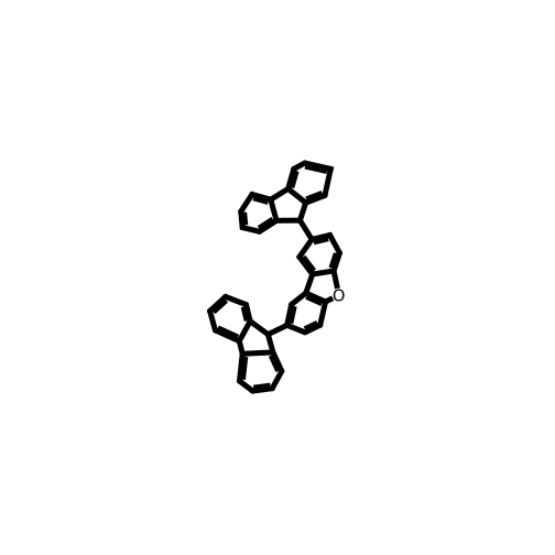 c1ccc2c(c1)-c1ccccc1C2c1ccc2oc3ccc(C4c5ccccc5-c5ccccc54)cc3c2c1